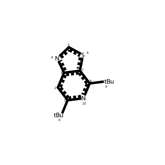 CC(C)(C)c1cc2ncsc2c(C(C)(C)C)n1